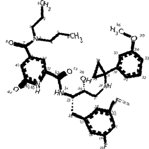 CCCN(CCC)C(=O)c1cc(C(=O)N[C@@H](Cc2cc(F)cc(F)c2)[C@H](O)CNC2(c3cccc(OC)c3)CC2)[nH]c(=O)c1